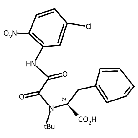 CC(C)(C)N(C(=O)C(=O)Nc1cc(Cl)ccc1[N+](=O)[O-])[C@@H](Cc1ccccc1)C(=O)O